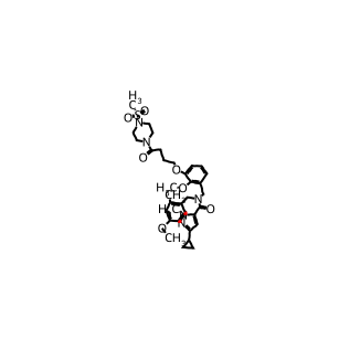 COc1ccc(CN(Cc2cccc(OCCCC(=O)N3CCN(S(C)(=O)=O)CC3)c2OC)C(=O)c2cc(C3CC3)nn2C)c(C)c1